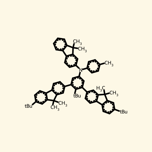 Cc1ccc(N(c2cc(-c3ccc4c(c3)C(C)(C)c3cc(C(C)(C)C)ccc3-4)c(C(C)(C)C)c(-c3ccc4c(c3)C(C)(C)c3cc(C(C)(C)C)ccc3-4)c2)c2ccc3c(c2)C(C)(C)c2ccccc2-3)cc1